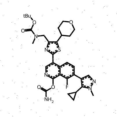 CN(Cc1nc(-c2cnc(OC(N)=O)c3c(F)c(-c4cnn(C)c4C4CC4)ccc23)sc1C1CCOCC1)C(=O)OC(C)(C)C